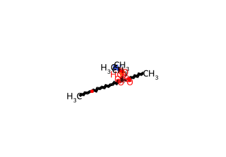 CCCCCCCCCCCCCCCCCCCC(=O)O[C@H](COC(=O)CCCCCCCC)COP(=O)(O)OCC[N+](C)(C)C